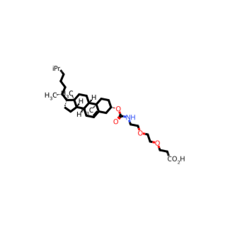 CC(C)CCC[C@@H](C)[C@H]1CC[C@H]2[C@@H]3CC=C4C[C@@H](OC(=O)NCCOCCOCCC(=O)O)CC[C@]4(C)[C@H]3CC[C@]12C